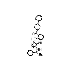 CC(C)(C)[C@@H](Nc1nsnc1Nc1cccc(C(=O)N2CCN(c3ccccn3)CC2)c1O)c1ccccc1